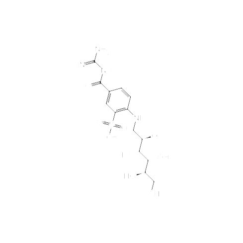 CS(=O)(=O)c1cc(C(=O)NC(=N)N)ccc1NC[C@@H](O)[C@@H](O)[C@H](O)[C@H](O)CO